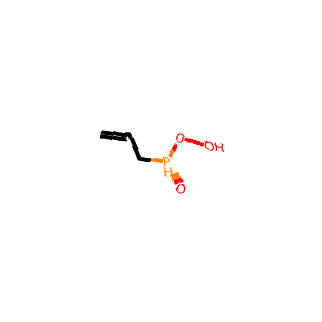 C=CC[PH](=O)OO